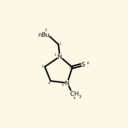 CCCCCN1CCN(C)C1=S